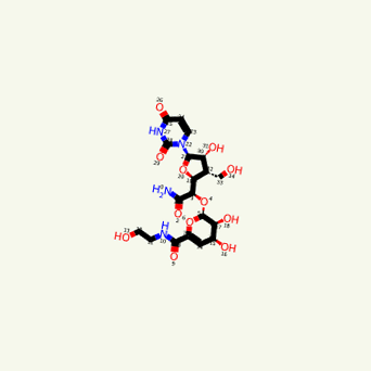 NC(=O)[C@H](O[C@H]1OC(C(=O)NCCO)=C[C@H](O)[C@@H]1O)[C@H]1O[C@@H](n2ccc(=O)[nH]c2=O)[C@H](O)[C@@H]1CO